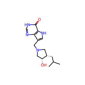 CC(C)C[C@H]1CN(Cc2c[nH]c3c(=O)[nH]cnc23)C[C@H]1O